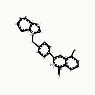 Cc1cccc2c(=O)[nH]c(-c3ccc(Cn4cnc5ccccc54)cc3)cc12